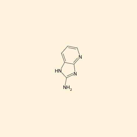 Nc1nc2ncccc2[nH]1